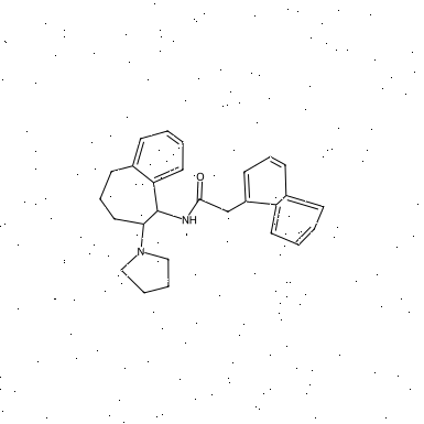 O=C(Cc1cccc2ccccc12)NC1c2ccccc2CCCC1N1CCCC1